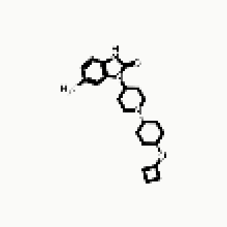 Cc1ccc2[nH]c(=O)n(C3CCN([C@H]4CC[C@H](OC5CCC5)CC4)CC3)c2c1